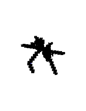 C=CCOC(=O)O[C@H]1[C@H](OCCCCCCCCCC)[C@H](NC(=O)CC(=O)CCCCCCCCCCC)[C@@H](O)O[C@@H]1CO[C@@H]1O[C@H](COC)[C@@H](OP(=O)(OCC=C)OCC=C)[C@H](OCC[C@H](CCCCCCC)OC)[C@H]1OCCCCCCCCCC/C=C\CCCCCC